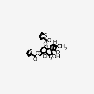 C=C1C(=O)[C@]23CC[C@H]1CC2[C@]1(COC(=O)c2cccs2)CCC[C@@](C)(COC(=O)c2cccs2)C1C[C@H]3O